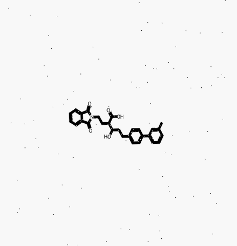 Cc1cccc(-c2ccc(CCC(O)C(CCN3C(=O)c4ccccc4C3=O)C(=O)O)cc2)c1